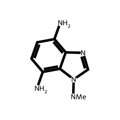 CNn1cnc2c(N)ccc(N)c21